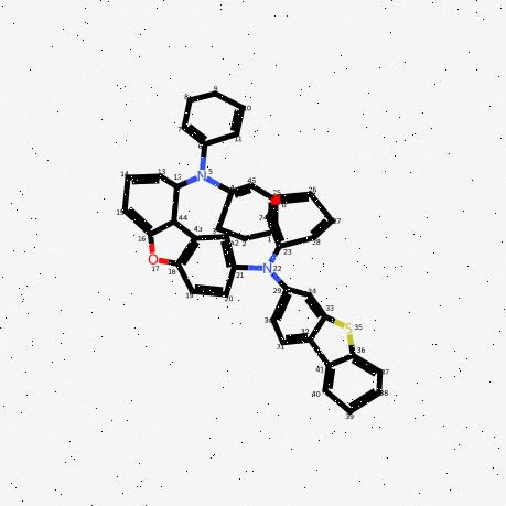 C1=CCCC(N(C2=CCCC=C2)C2C=CC=C3Oc4ccc(N(c5ccccc5)c5ccc6c(c5)sc5ccccc56)cc4C32)=C1